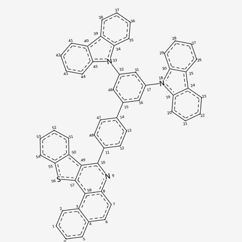 c1ccc2c(c1)ccc1nc(-c3ccc(-c4cc(-n5c6ccccc6c6ccccc65)cc(-n5c6ccccc6c6ccccc65)c4)cc3)c3c4ccccc4sc3c12